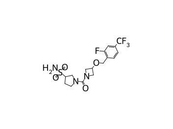 NS(=O)(=O)C1CCN(C(=O)N2CC(OCc3ccc(C(F)(F)F)cc3F)C2)C1